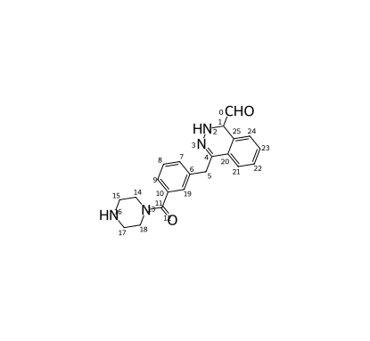 O=CC1NN=C(Cc2cccc(C(=O)N3CCNCC3)c2)c2ccccc21